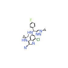 CCC1(Nc2c(C#N)cnc3c(Cl)cc(NC(c4ccc(F)cc4)c4cn(C5CC5)nn4)cc23)CC1